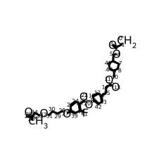 C=CC(=O)OCC1CCC(COC(=O)CCc2ccc(OC(=O)c3ccc(OCCCCOCCC4(C)CO4)cc3F)cc2)CC1